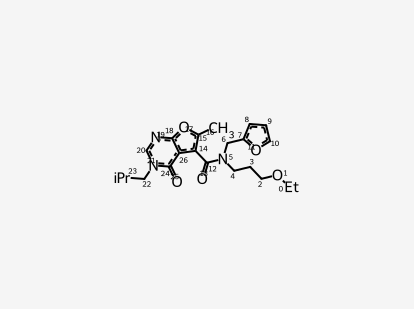 CCOCCCN(Cc1ccco1)C(=O)c1c(C)oc2ncn(CC(C)C)c(=O)c12